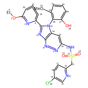 CCOC1=NC(c2nc3nnc(NS(=O)(=O)Cc4ccc(Cl)cn4)cc3n2-c2c(O)cccc2OC)=C=C=C1